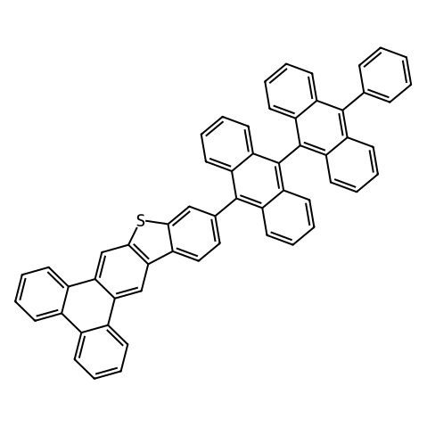 c1ccc(-c2c3ccccc3c(-c3c4ccccc4c(-c4ccc5c(c4)sc4cc6c7ccccc7c7ccccc7c6cc45)c4ccccc34)c3ccccc23)cc1